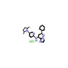 CC1CCC(C)N1c1ccc(Nc2cc(-c3ccccc3)nn3ccnc23)nc1.Cl